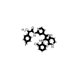 CC(C(=O)Nc1cc(-c2[nH]c3c(c2Nc2ccccc2Cl)C(=O)NCC3)ccn1)c1ccc(F)cc1